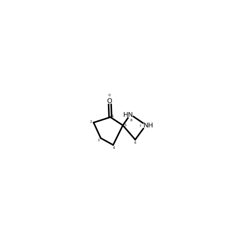 O=C1CCCC12CNN2